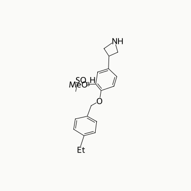 CCc1ccc(COc2ccc(C3CNC3)cc2OC)cc1.CS(=O)(=O)O